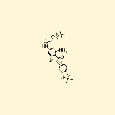 C[C@H](CO[Si](C)(C)C(C)(C)C)Nc1cc(N)c(C(=O)Nc2ccc(OC(F)(F)Cl)cc2)c(Br)c1